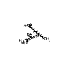 CCCCCC(CCCCCCCCC(=O)O)OC(=O)OCCN(CCO)CCN(CC)CC